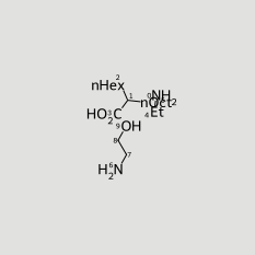 CCCCCCCCC(CCCCCC)C(=O)O.CCN.NCCO